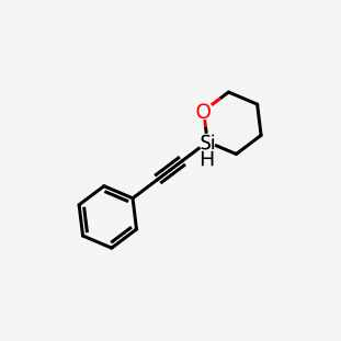 C(#C[SiH]1CCCCO1)c1ccccc1